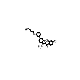 Nc1c(C(=O)c2ccc(Cl)cc2Cl)oc2cc(-c3cccc(OCCCO)c3)ccc12